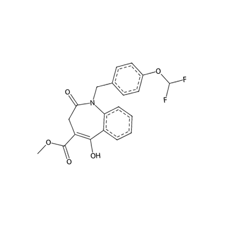 COC(=O)C1=C(O)c2ccccc2N(Cc2ccc(OC(F)F)cc2)C(=O)C1